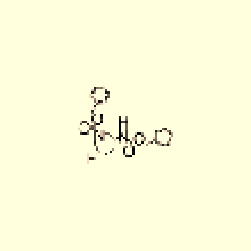 O=C(N[C@H]1CC[C@H](F)CN(C(=O)OCc2ccccc2)C1)OCc1ccccc1